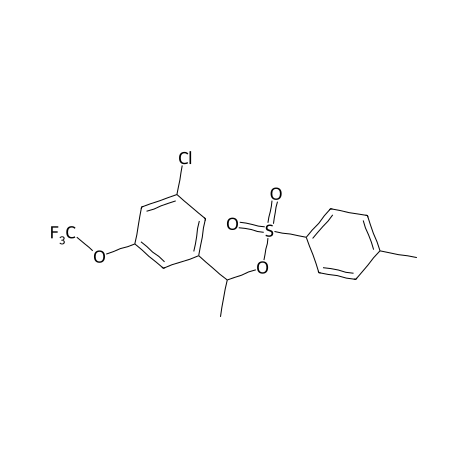 Cc1ccc(S(=O)(=O)OC(C)c2cc(Cl)cc(OC(F)(F)F)c2)cc1